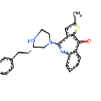 Cc1cc2c(N3CCN[C@@H](CCc4ccccc4)C3)nc3ccccc3c(=O)c2s1